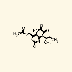 CC[C@@H](C)n1c(=O)c(=O)[nH]c2c(COC(C)=O)nc(Cl)nc21